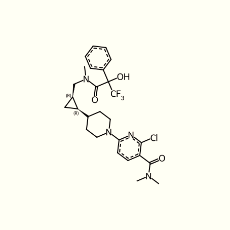 CN(C)C(=O)c1ccc(N2CCC([C@H]3C[C@H]3CN(C)C(=O)C(O)(c3ccccc3)C(F)(F)F)CC2)nc1Cl